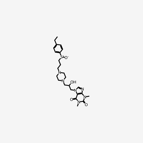 CCc1ccc([S+]([O-])CCCN2CCN(CC(O)Cn3cnc4c3c(=O)n(C)c(=O)n4C)CC2)cc1